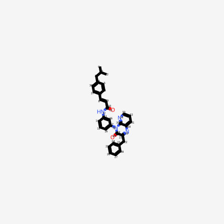 CC(C)Cc1ccc(/C=C/C(=O)Nc2cccc(-n3c(=O)c(Cc4ccccc4)nc4cccnc43)c2)cc1